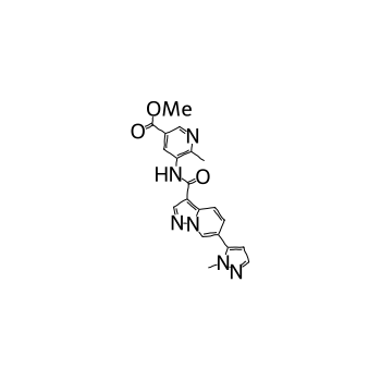 COC(=O)c1cnc(C)c(NC(=O)c2cnn3cc(-c4ccnn4C)ccc23)c1